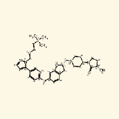 C[Si](C)(C)CCOCn1nccc1-c1ccc(Oc2ccc3c(c2)O[C@H](CN2CCC(N4CC[C@H](O)C4=O)CC2)C3)nc1